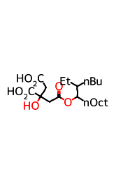 CCCCCCCCC(OC(=O)CC(O)(CC(=O)O)C(=O)O)C(CC)CCCC